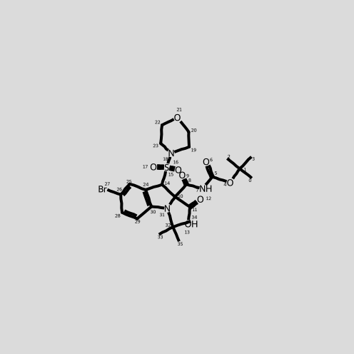 CC(C)(C)OC(=O)NC(=O)C1(C(=O)O)C(S(=O)(=O)N2CCOCC2)c2cc(Br)ccc2N1C(C)(C)C